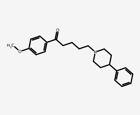 COc1ccc(C(=O)CCCCN2CCC(c3ccccc3)CC2)cc1